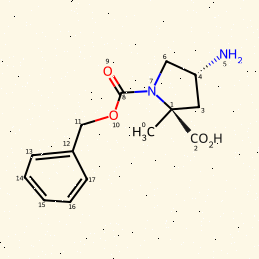 C[C@@]1(C(=O)O)C[C@@H](N)CN1C(=O)OCc1ccccc1